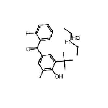 CCNCC.Cc1cc(C(=O)c2ccccc2F)cc(C(C)(C)C)c1O.Cl